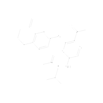 C=Cc1cc(Nc2nc(N[C@@H](C(C)=O)C(C)C)cnc2C(C)=O)ccc1/C=C\C